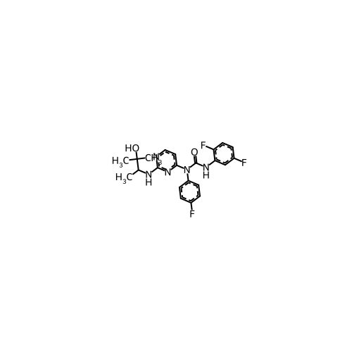 CC(Nc1nccc(N(C(=O)Nc2cc(F)ccc2F)c2ccc(F)cc2)n1)C(C)(C)O